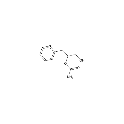 NC(=O)O[C@@H](CO)Cc1ccccn1